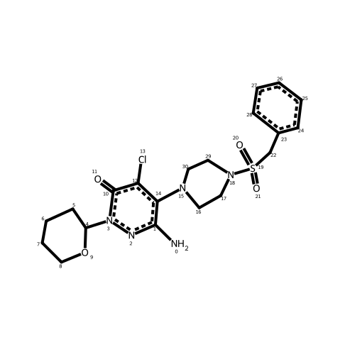 Nc1nn(C2CCCCO2)c(=O)c(Cl)c1N1CCN(S(=O)(=O)Cc2ccccc2)CC1